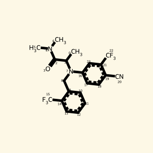 CC(C(=O)N(C)C)N(Cc1ccccc1C(F)(F)F)c1ccc(C#N)c(C(F)(F)F)c1